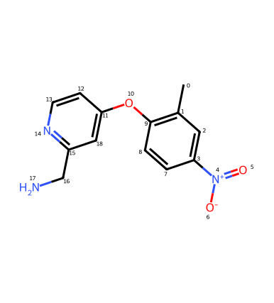 Cc1cc([N+](=O)[O-])ccc1Oc1ccnc(CN)c1